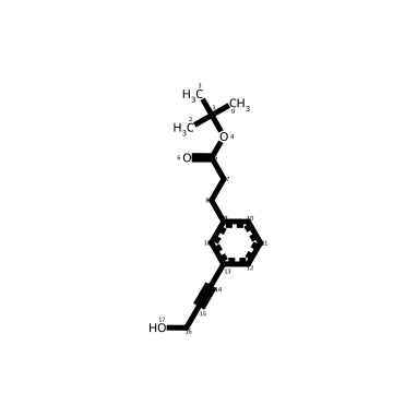 CC(C)(C)OC(=O)CCc1cccc(C#CCO)c1